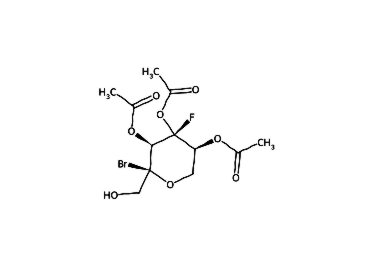 CC(=O)O[C@H]1CO[C@](Br)(CO)[C@@H](OC(C)=O)[C@]1(F)OC(C)=O